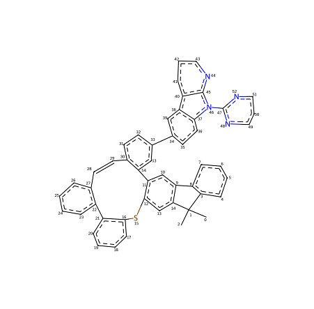 CC1(C)c2ccccc2-c2cc3c(cc21)Sc1ccccc1-c1ccccc1/C=C\c1ccc(-c2ccc4c(c2)c2cccnc2n4-c2ncccn2)cc1-3